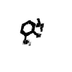 Nc1ccccc1Br.[CH3][Mg][CH3]